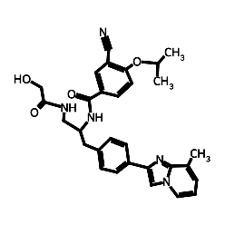 Cc1cccn2cc(-c3ccc(CC(CNC(=O)CO)NC(=O)c4ccc(OC(C)C)c(C#N)c4)cc3)nc12